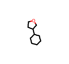 C1CCC(C2CCOC2)CC1